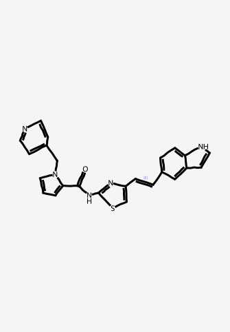 O=C(Nc1nc(/C=C/c2ccc3[nH]ccc3c2)cs1)c1cccn1Cc1ccncc1